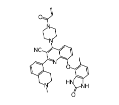 C=CC(=O)N1CCN(c2c(C#N)c(-c3cccc4c3CCN(C)C4)nc3c(Oc4c(C)ccc5[nH]c(=O)[nH]c45)cccc23)CC1